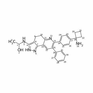 CC(O)Nc1[nH]nc2c1CCc1nc(-c3ccc(C4(N)CCC4)cc3)c(-c3ccccc3)cc1-2